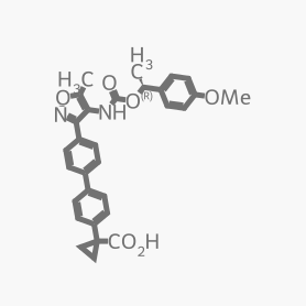 COc1ccc([C@@H](C)OC(=O)Nc2c(-c3ccc(-c4ccc(C5(C(=O)O)CC5)cc4)cc3)noc2C)cc1